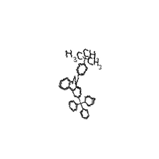 CC(C)(C)c1ccc(-n2c3ccccc3c3cc(C(c4ccccc4)(c4ccccc4)c4ccccc4)ccc32)cc1